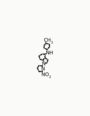 Cc1ccc(Nc2cccc3c2ccn3-c2cccc([N+](=O)[O-])n2)cc1